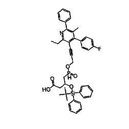 CCc1nc(-c2ccccc2)c(C)c(-c2ccc(F)cc2)c1C#CCO[PH](=O)CC(CC(=O)O)O[Si](c1ccccc1)(c1ccccc1)C(C)(C)C